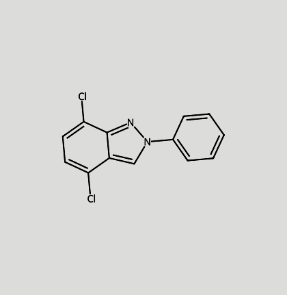 Clc1ccc(Cl)c2nn(-c3ccccc3)cc12